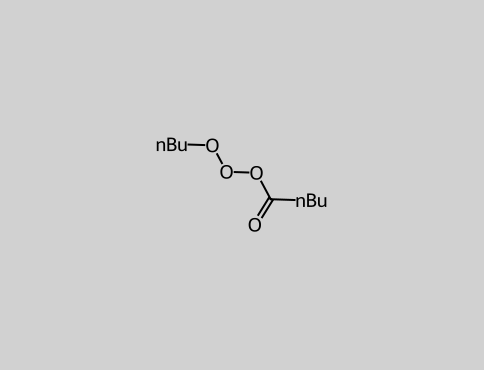 CCCCOOOC(=O)CCCC